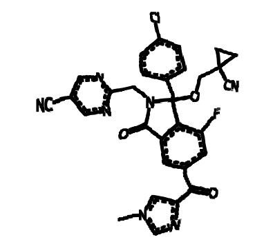 Cn1cnc(C(=O)c2cc(F)c3c(c2)C(=O)N(Cc2ncc(C#N)cn2)C3(OCC2(C#N)CC2)c2ccc(Cl)cc2)c1